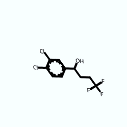 OC(CCC(F)(F)F)c1ccc(Cl)c(Cl)c1